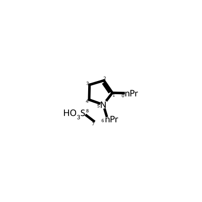 CCCC1=CCCN1CCC.CS(=O)(=O)O